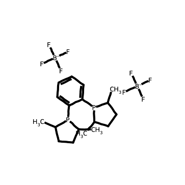 CC1CCC(C)P1c1ccccc1P1C(C)CCC1C.F[B-](F)(F)F.F[B-](F)(F)F